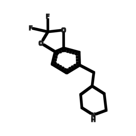 FC1(F)Oc2ccc(CC3CCNCC3)cc2O1